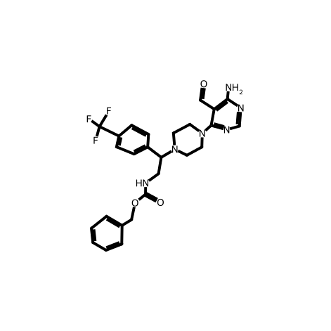 Nc1ncnc(N2CCN(C(CNC(=O)OCc3ccccc3)c3ccc(C(F)(F)F)cc3)CC2)c1C=O